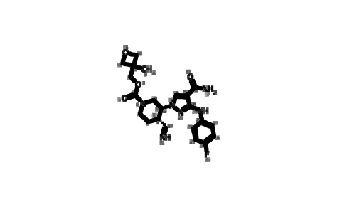 CC1(COC(=O)N2CC[C@@H](C=N)[C@H](n3cc(C(N)=O)c(Nc4ccc(F)cc4)n3)C2)COC1